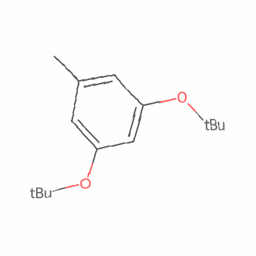 Cc1cc(OC(C)(C)C)cc(OC(C)(C)C)c1